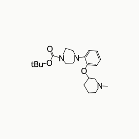 CN1CCCC(Oc2ccccc2N2CCN(C(=O)OC(C)(C)C)CC2)C1